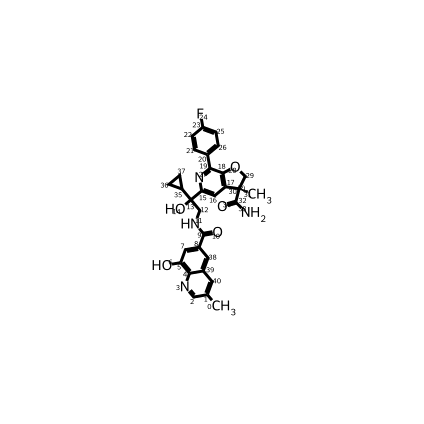 Cc1cnc2c(O)cc(C(=O)NCC(O)(c3cc4c(c(-c5ccc(F)cc5)n3)OC[C@]4(C)C(N)=O)C3CC3)cc2c1